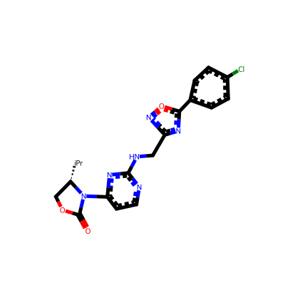 CC(C)[C@H]1COC(=O)N1c1ccnc(NCc2noc(-c3ccc(Cl)cc3)n2)n1